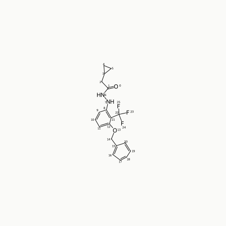 O=C(CC1CC1)NNc1cccc(OCc2ccccc2)c1C(F)(F)F